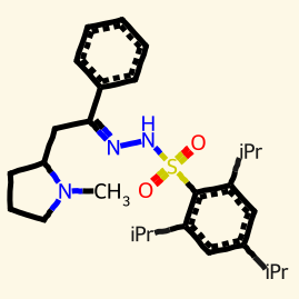 CC(C)c1cc(C(C)C)c(S(=O)(=O)NN=C(CC2CCCN2C)c2ccccc2)c(C(C)C)c1